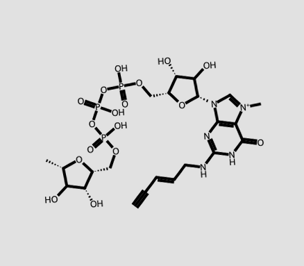 C#CC=CCNc1nc2c(c(=O)[nH]1)[n+](C)cn2[C@@H]1O[C@H](COP(=O)(O)OP(=O)(O)OP(=O)(O)OC[C@H]2O[C@@H](C)C(O)[C@H]2O)[C@H](O)C1O